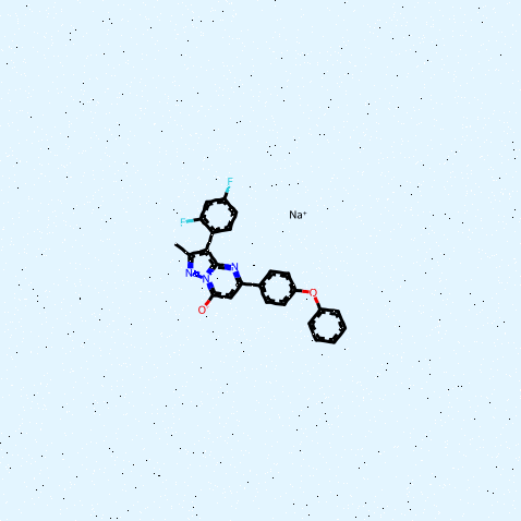 Cc1nn2c([O-])cc(-c3ccc(Oc4ccccc4)cc3)nc2c1-c1ccc(F)cc1F.[Na+]